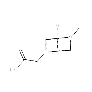 CN1CC2[C@H]1CN2CC(=O)O